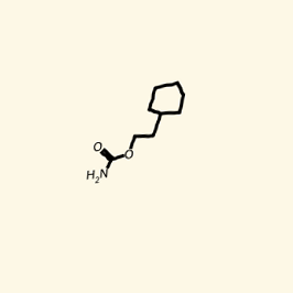 NC(=O)OCCC1CCCCC1